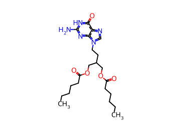 CCCCCC(=O)OCC(CCn1cnc2c(=O)[nH]c(N)nc21)COC(=O)CCCCC